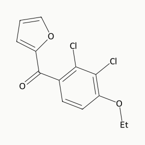 CCOc1ccc(C(=O)c2ccco2)c(Cl)c1Cl